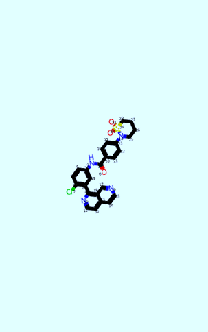 O=C(Nc1ccc(Cl)c(-c2nccc3ccncc23)c1)c1ccc(N2CCCCS2(=O)=O)cc1